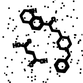 O=C(CCC1CCN(Cc2ccccc2)CC1)c1ccc2c(c1)NCCC2.O=C(O)C=CC(=O)O